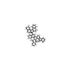 CN1c2ccccc2NC(c2cccc3c2sc2ccccc23)C1c1ccc(-n2c3ccc4ccccc4c3c3c4ccccc4ccc32)c2ccccc12